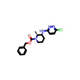 C[C@H]1[C@@H](Nc2ccc(Cl)nn2)CCCN1C(=O)OCc1ccccc1